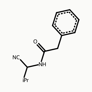 CC(C)C(C#N)NC(=O)Cc1ccccc1